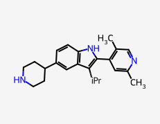 Cc1cc(-c2[nH]c3ccc(C4CCNCC4)cc3c2C(C)C)c(C)cn1